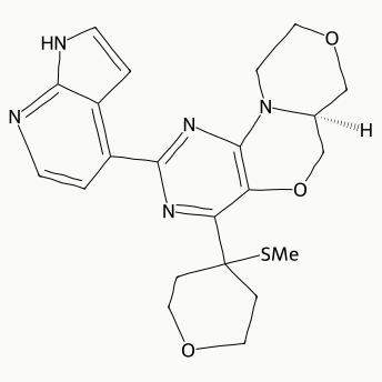 CSC1(c2nc(-c3ccnc4[nH]ccc34)nc3c2OC[C@@H]2COCCN32)CCOCC1